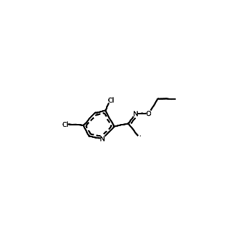 [CH2]C(=NOCC)c1ncc(Cl)cc1Cl